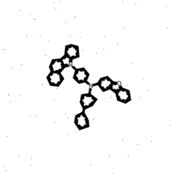 c1ccc(-c2ccc(N(c3ccc(-n4c5ccccc5c5ccc6ccccc6c54)cc3)c3ccc4oc5ccccc5c4c3)cc2)cc1